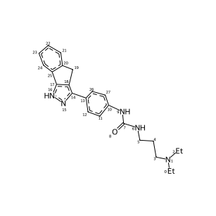 CCN(CC)CCCNC(=O)Nc1ccc(-c2n[nH]c3c2Cc2ccccc2-3)cc1